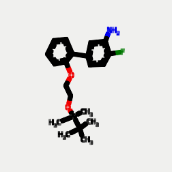 CC(C)(C)[Si](C)(C)OCCOc1ccccc1-c1ccc(F)c(N)c1